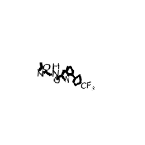 Cc1cnc(CNC(=O)c2cnc3c(C4=CCC(C(F)(F)F)CC4)cccc3c2)o1